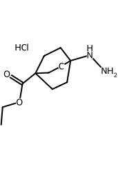 CCOC(=O)C12CCC(NN)(CC1)CC2.Cl